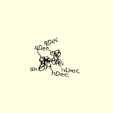 CCCCCCCCCCCCCCCCCCOC(=O)C(Cc1cc(C(C)(C)C)c(O)c(C(C)(C)C)c1)C(=O)OCCCCCCCCCCCCCCCCCC.CCCCCCCCCCCCCCCCCCOC(=O)C(Cc1cc(C)c(O)c(C(C)(C)C)c1)C(=O)OCCCCCCCCCCCCCCCCCC